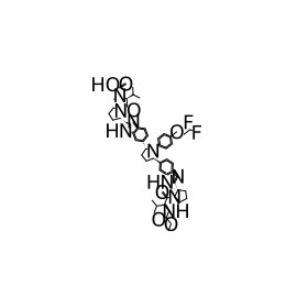 COC(=O)N[C@H](C(=O)N1CCC[C@H]1c1nc2ccc([C@H]3CC[C@H](c4ccc5nc([C@@H]6CCCN6C(=O)[C@H](C(C)C)N(C)C(=O)O)[nH]c5c4)N3c3ccc(OCC(F)F)cc3)cc2[nH]1)C(C)C